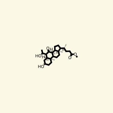 COC(=O)CC[C@@H](C)C1CCC2[C@@H]3C(=O)C(C(C)O)[C@@H]4C[C@H](O)CC[C@]4(C)C3CC[C@@]21C